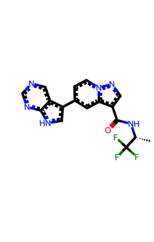 C[C@@H](NC(=O)c1cnn2ccc(-c3c[nH]c4ncncc34)cc12)C(F)(F)F